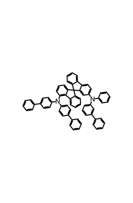 c1ccc(-c2ccc(N(c3ccc(-c4ccccc4)cc3)c3cccc4c3-c3ccccc3C43c4ccccc4-c4ccc(N(c5ccccc5)c5cccc(-c6ccccc6)c5)cc43)cc2)cc1